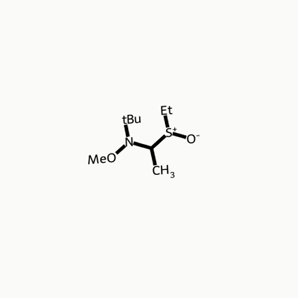 CC[S+]([O-])C(C)N(OC)C(C)(C)C